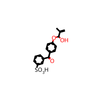 C=C(C)C(O)Oc1ccc(C(=O)c2cccc(S(=O)(=O)O)c2)cc1